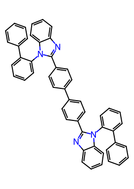 c1ccc(-c2ccccc2-n2c(-c3ccc(-c4ccc(-c5nc6ccccc6n5-c5ccccc5-c5ccccc5)cc4)cc3)nc3ccccc32)cc1